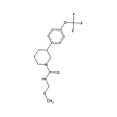 COCNC(=O)N1CCCC(c2ccc(OC(F)(F)F)cc2)C1